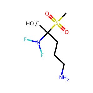 CS(=O)(=O)C(CCCN)(C(=O)O)N(F)F